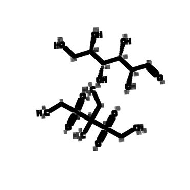 CCC(C)(S(=O)(=O)CC)S(=O)(=O)CC.O=C[C@@H](O)[C@@H](O)[C@H](O)[C@H](O)CO